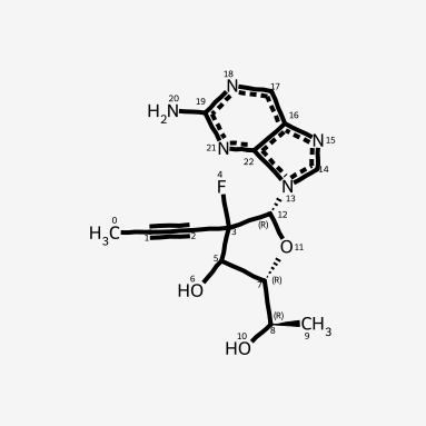 CC#CC1(F)C(O)[C@@H]([C@@H](C)O)O[C@H]1n1cnc2cnc(N)nc21